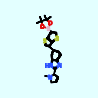 CN1CC=CC1c1nc2ccc(-c3csc4c(B5OC(C)(C)C(C)(C)O5)csc34)cc2[nH]1